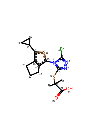 CC(C)(Sc1nnc(Br)n1-c1sc(C2CC2)c2c1CCC2)C(=O)O